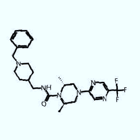 C[C@@H]1CN(c2cnc(C(F)(F)F)cn2)C[C@@H](C)N1C(=O)NCC1CCN(Cc2ccccc2)CC1